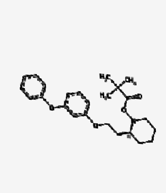 CC(C)(C)C(=O)ON1CCCC[C@H]1CCOc1cccc(Oc2ccccc2)c1